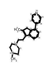 CC1=C(CCN2CCN(C)CC2)c2cccc(-c3ccncc3)c2C1